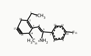 CCC1=C(/C=C(\N)c2ccc(F)cc2)C(C)C#CC1